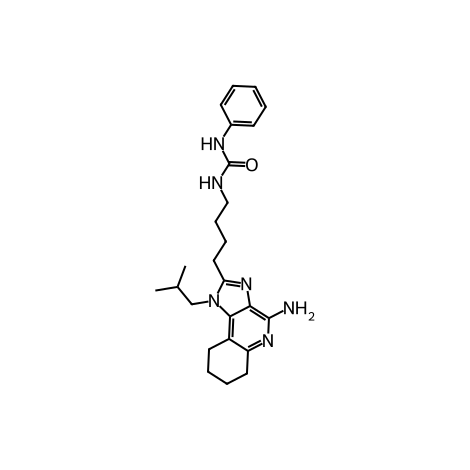 CC(C)Cn1c(CCCCNC(=O)Nc2ccccc2)nc2c(N)nc3c(c21)CCCC3